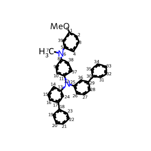 COc1cccc(N(C)c2ccc(N(c3cccc(-c4ccccc4)c3)c3cccc(-c4ccccc4)c3)cc2)c1